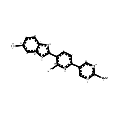 CNc1ncc(-c2ccc(-c3nc4ccc(N)cc4s3)c(F)n2)cn1